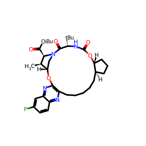 CC(C)COC(=O)[C@@H]1[C@H](C)[C@@H]2CN1C(=O)[C@H](C(C)(C)C)NC(=O)O[C@@H]1CCC[C@H]1CCCCCc1nc3ccc(F)cc3nc1O2